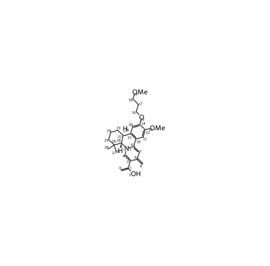 C=C(O)C1=CN2C(=CC1=C)c1cc(OC)c(OCCCOC)cc1[C@@H]1CCCC(C)(C)[C@H]12